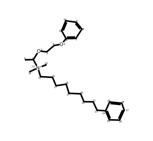 CC(OCCOc1ccccc1)[N+](C)(C)CCCCCCCCCc1ccccc1